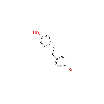 Oc1ccc(CCc2ccc(Br)cc2)cc1